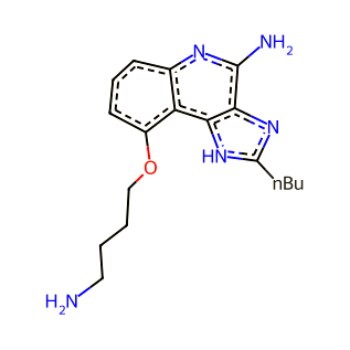 CCCCc1nc2c(N)nc3cccc(OCCCCN)c3c2[nH]1